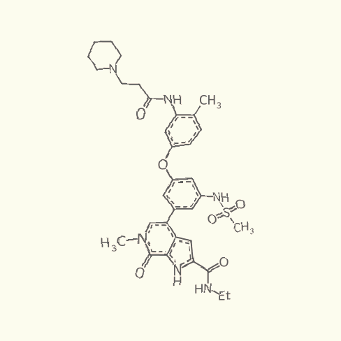 CCNC(=O)c1cc2c(-c3cc(NS(C)(=O)=O)cc(Oc4ccc(C)c(NC(=O)CCN5CCCCC5)c4)c3)cn(C)c(=O)c2[nH]1